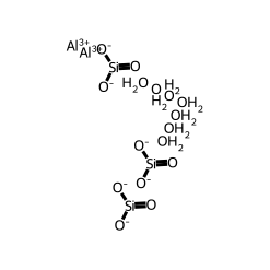 O.O.O.O.O.O.O.O=[Si]([O-])[O-].O=[Si]([O-])[O-].O=[Si]([O-])[O-].[Al+3].[Al+3]